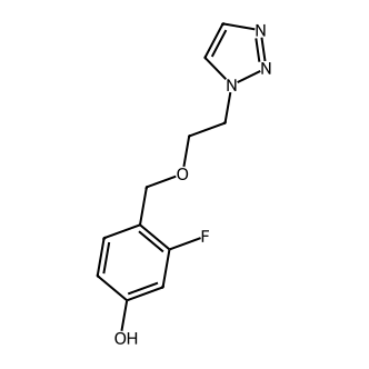 Oc1ccc(COCCn2ccnn2)c(F)c1